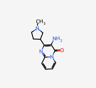 CN1CCC(c2nc3ccccn3c(=O)c2N)C1